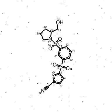 N#Cc1ccc(S(=O)(=O)c2cccc(S(=O)(=O)N3CCCC3CO)c2)s1